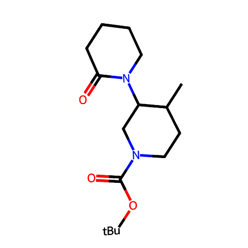 CC1CCN(C(=O)OC(C)(C)C)CC1N1CCCCC1=O